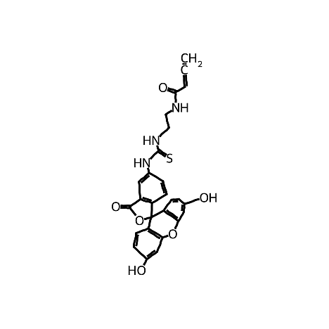 C=C=CC(=O)NCCNC(=S)Nc1ccc2c(c1)C(=O)OC21c2ccc(O)cc2Oc2cc(O)ccc21